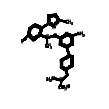 Cc1ccn(-c2ccc(F)cc2[C@@H](Oc2cc(-c3ccc(C[C@H](N)C(=O)O)cc3)nc(N)n2)C(F)(F)F)n1